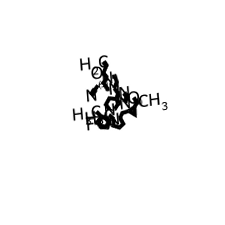 C=CC(=O)N1CCN(c2nc(O[C@H](C)C3CC3CC3CCCN3C)nc3c2CCN(c2cccc(F)c2C)C3)C[C@@H]1CC#N